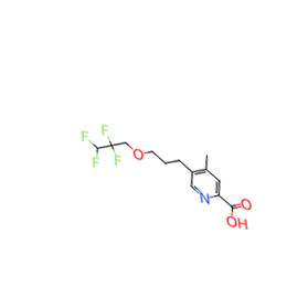 Cc1cc(C(=O)O)ncc1CCCOCC(F)(F)C(F)F